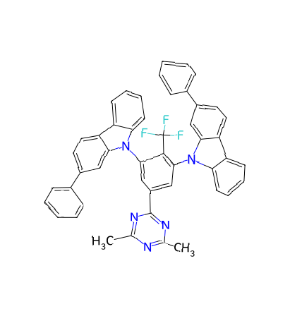 Cc1nc(C)nc(-c2cc(-n3c4ccccc4c4ccc(-c5ccccc5)cc43)c(C(F)(F)F)c(-n3c4ccccc4c4ccc(-c5ccccc5)cc43)c2)n1